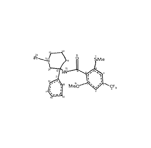 COc1cc(C(F)(F)F)cc(SC)c1C(=O)NC1(c2ccccc2)CCCN(C(C)C)C1